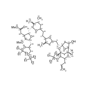 C=CCC1O[C@@H]2C[C@@H](O[C@@]3(CCC4CC(=C)C(CCC5C[C@@H](C)C(=C)[C@@H](C[C@@H]6O[C@H](CC(CO[Si](CC)(CC)CC)O[Si](CC)(CC)CC)[C@H](OC)C6CC(=O)OC)O5)O4)CC(O)[C@@H]2O3)C1O[Si](CC)(CC)CC